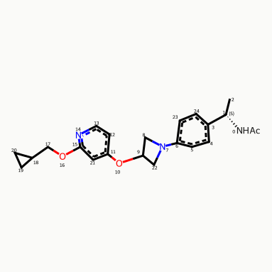 CC(=O)N[C@@H](C)c1ccc(N2CC(Oc3ccnc(OCC4CC4)c3)C2)cc1